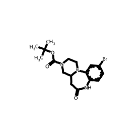 CC(C)(C)OC(=O)N1CCN2c3cc(Br)ccc3NC(=O)CC2C1